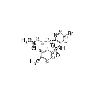 Cc1ccc(S(=O)(=O)Nc2cc(Br)cnc2OCCCN(C)C)cc1